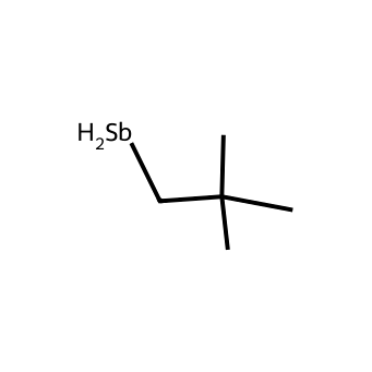 CC(C)(C)[CH2][SbH2]